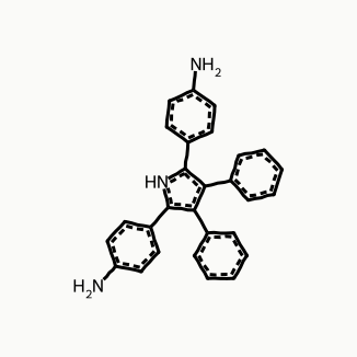 Nc1ccc(-c2[nH]c(-c3ccc(N)cc3)c(-c3ccccc3)c2-c2ccccc2)cc1